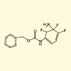 NC1(F)C(F)=CC=C(NC(=O)OCc2ccccc2)C1F